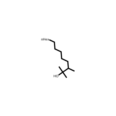 CCCCCCCCCCCC(C)C(C)(C)O